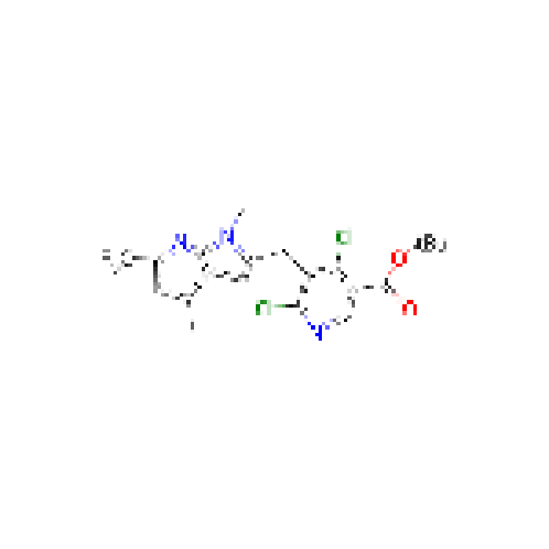 Cc1cc(C(F)(F)F)nc2c1cc(Cc1c(Cl)ncc(C(=O)OC(C)(C)C)c1Cl)n2C